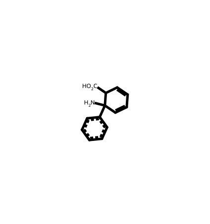 NC1(c2ccccc2)C=CC=CC1C(=O)O